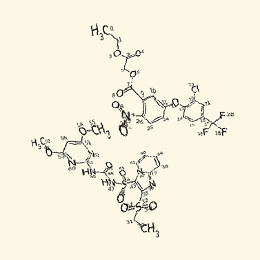 CCOC(=O)COC(=O)c1cc(Oc2ccc(C(F)(F)F)cc2Cl)ccc1[N+](=O)[O-].CCS(=O)(=O)c1nc2ccccn2c1S(=O)(=O)NC(=O)Nc1nc(OC)cc(OC)n1